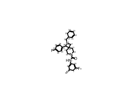 O=C(NC1=CC(F)CC(F)=C1)N1CCC2(CC1)CN(CC1C=CC=CC1)C2c1ccc(F)cc1